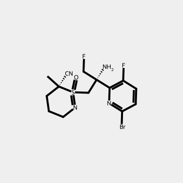 C[C@]1(C#N)CCCN=S1(=O)C[C@@](N)(CF)c1nc(Br)ccc1F